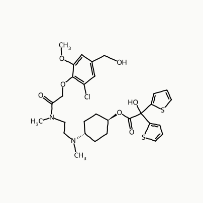 COc1cc(CO)cc(Cl)c1OCC(=O)N(C)CCN(C)[C@H]1CC[C@H](OC(=O)C(O)(c2cccs2)c2cccs2)CC1